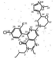 CCCn1c(C)nc2cc(N3CCOC(c4ccnn4C)C3)nc(-c3ccc(Cl)cc3F)c2c1=O